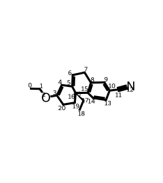 CCOC1=CC2=CCc3cc(C#N)ccc3[C@]2(CC)CC1